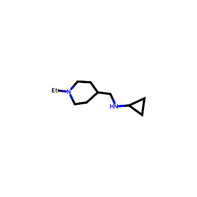 CCN1CCC(CNC2CC2)CC1